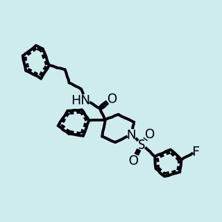 O=C(NCCCc1ccccc1)C1(c2ccccc2)CCN(S(=O)(=O)c2cccc(F)c2)CC1